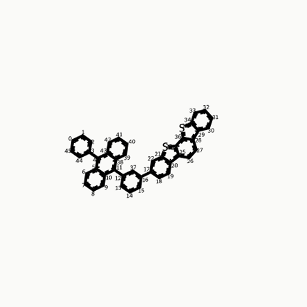 c1ccc(-c2c3ccccc3c(-c3cccc(-c4ccc5c(c4)sc4c5ccc5c6ccccc6sc54)c3)c3ccccc23)cc1